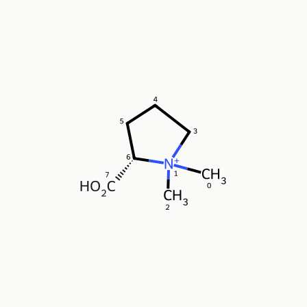 C[N+]1(C)CCC[C@H]1C(=O)O